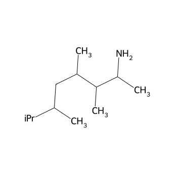 CC(C)C(C)CC(C)C(C)C(C)N